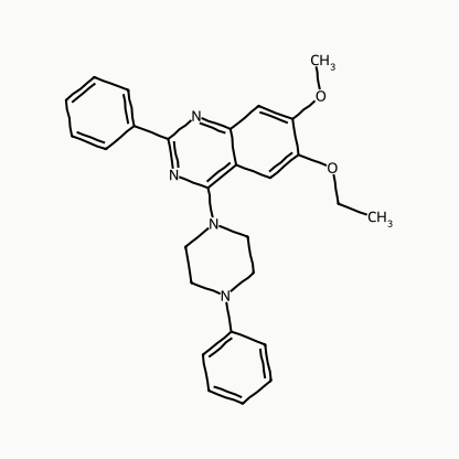 CCOc1cc2c(N3CCN(c4ccccc4)CC3)nc(-c3ccccc3)nc2cc1OC